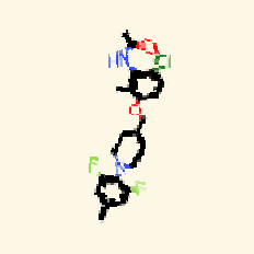 CC(=O)Nc1c(Cl)ccc(OCC2CCN(c3c(F)cc(C)cc3F)CC2)c1C